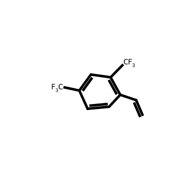 C=Cc1ccc(C(F)(F)F)cc1C(F)(F)F